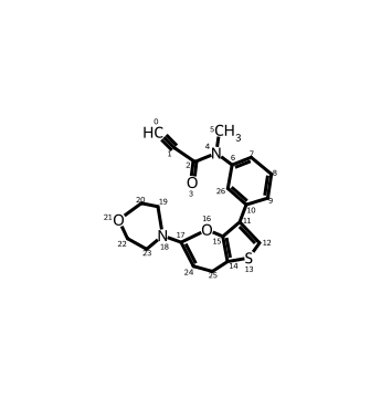 C#CC(=O)N(C)c1cccc(-c2csc3c2OC(N2CCOCC2)=CC3)c1